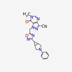 Cn1cnc2c(C#N)nn(Cc3nc(C4C5CN(c6ccccc6)CC54)no3)c2c1=O